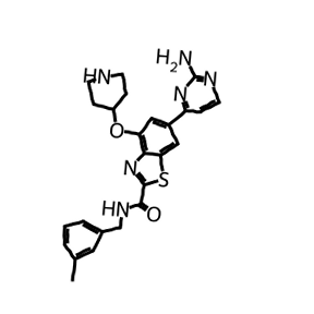 Cc1cccc(CNC(=O)c2nc3c(OC4CCNCC4)cc(-c4ccnc(N)n4)cc3s2)c1